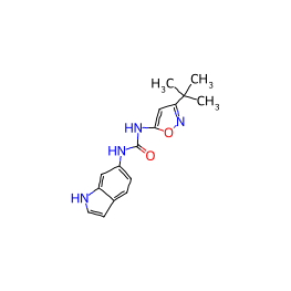 CC(C)(C)c1cc(NC(=O)Nc2ccc3cc[nH]c3c2)on1